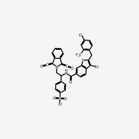 CCc1c(Cc2ccc(Cl)cc2C(F)(F)F)oc2cc(C(=O)NC(Cn3c(=C=O)c4ccccc4c3=C=O)c3ccc(S(=O)(=O)CC)cc3)ccc12